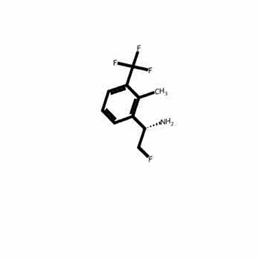 Cc1c([C@H](N)CF)cccc1C(F)(F)F